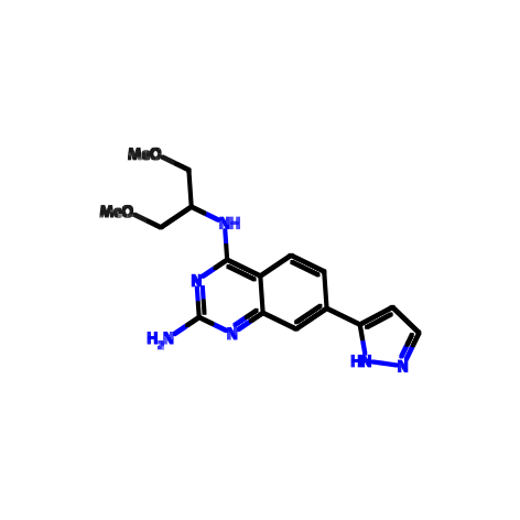 COCC(COC)Nc1nc(N)nc2cc(-c3ccn[nH]3)ccc12